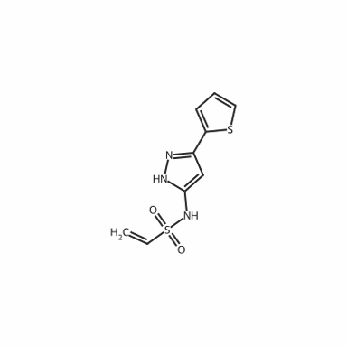 C=CS(=O)(=O)Nc1cc(-c2cccs2)n[nH]1